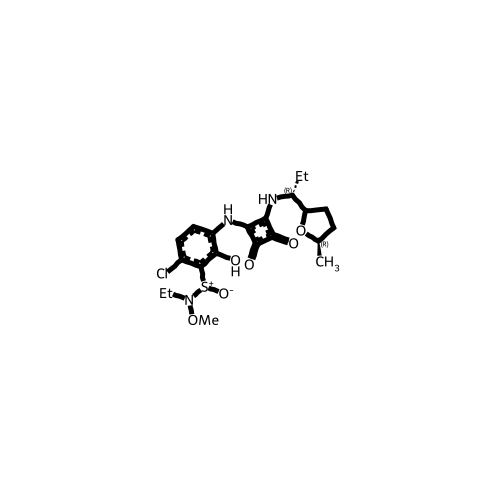 CC[C@@H](Nc1c(Nc2ccc(Cl)c([S+]([O-])N(CC)OC)c2O)c(=O)c1=O)C1CC[C@@H](C)O1